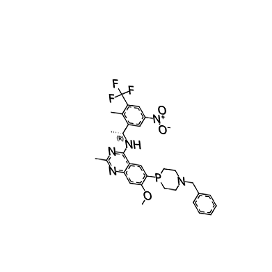 COc1cc2nc(C)nc(N[C@H](C)c3cc([N+](=O)[O-])cc(C(F)(F)F)c3C)c2cc1P1CCN(Cc2ccccc2)CC1